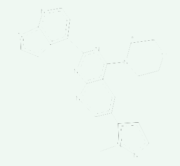 C[C@@H]1COCCN1c1nc(-c2ccnc3[nH]ccc23)nc2ncc(-c3ccnn3C)cc12